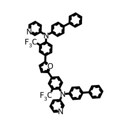 FC(F)(F)c1cc(-c2ccc(-c3ccc(N(c4ccc(-c5ccccc5)cc4)c4cccnc4)c(C(F)(F)F)c3)o2)ccc1N(c1ccc(-c2ccccc2)cc1)c1cccnc1